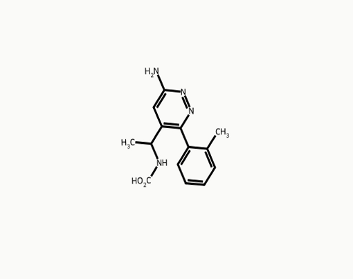 Cc1ccccc1-c1nnc(N)cc1C(C)NC(=O)O